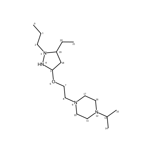 CCCN1NC(OCCN2CCN(C(C)C)CC2)CC1CC